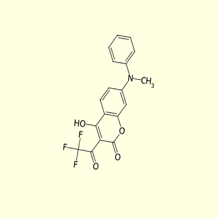 CN(c1ccccc1)c1ccc2c(O)c(C(=O)C(F)(F)F)c(=O)oc2c1